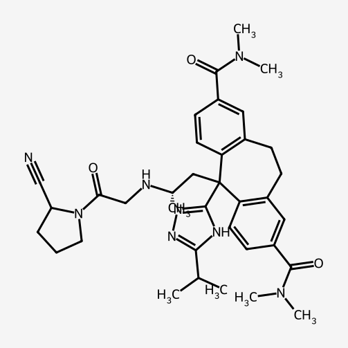 CC(C)c1nnc(C2(C[C@H](C)NCC(=O)N3CCCC3C#N)c3ccc(C(=O)N(C)C)cc3CCc3cc(C(=O)N(C)C)ccc32)[nH]1